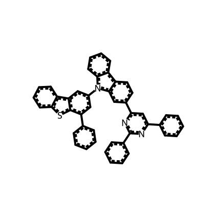 c1ccc(-c2cc(-c3ccc4c5ccccc5n(-c5cc(-c6ccccc6)c6sc7ccccc7c6c5)c4c3)nc(-c3ccccc3)n2)cc1